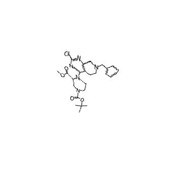 COC(=O)C1CN(C(=O)OC(C)(C)C)CCN1c1nc(Cl)nc2c1CCN(Cc1ccccc1)C2